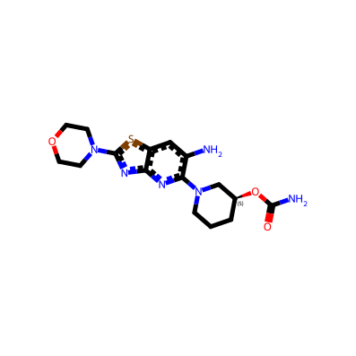 NC(=O)O[C@H]1CCCN(c2nc3nc(N4CCOCC4)sc3cc2N)C1